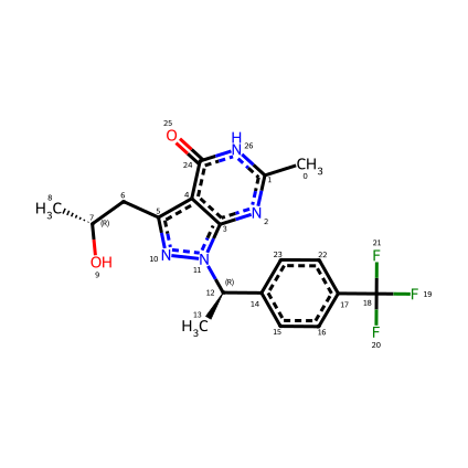 Cc1nc2c(c(C[C@@H](C)O)nn2[C@H](C)c2ccc(C(F)(F)F)cc2)c(=O)[nH]1